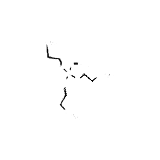 COCCO[Si](O[SiH3])(OCCOC)OCCOC